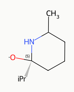 CC1CCC[C@]([O])(C(C)C)N1